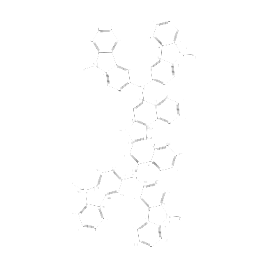 Cn1c2ccccc2c2cc(N(c3ccc4c(c3)c3ccccc3n4C)c3cc4sc5cc(N(c6ccc7c(c6)c6ccccc6n7C)c6ccc7c(c6)c6ccccc6n7C)c6ccccc6c5c4c4ccccc34)ccc21